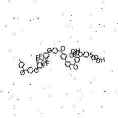 Cc1ccc(C(=O)c2ccc(Oc3ccc(C(c4ccc(Oc5ccc(C(=O)c6ccc(-c7ccc(C)c(C(=O)c8ccc(Oc9ccc(SOOO)cc9)c(S(=O)(=O)O)c8)c7)cc6)cc5)cc4)(C(F)(F)F)C(F)(F)F)cc3)cc2)cc1